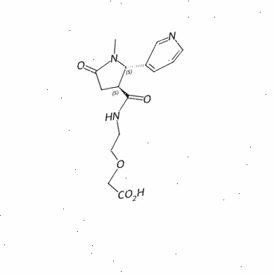 CN1C(=O)C[C@H](C(=O)NCCOCC(=O)O)[C@H]1c1cccnc1